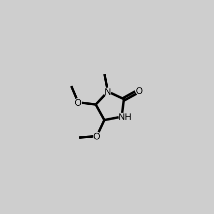 COC1NC(=O)N(C)C1OC